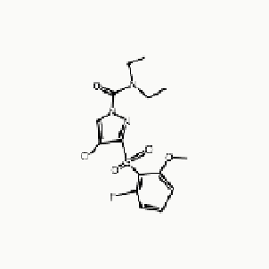 CCN(CC)C(=O)n1cc(Cl)c(S(=O)(=O)c2c(F)cccc2OC)n1